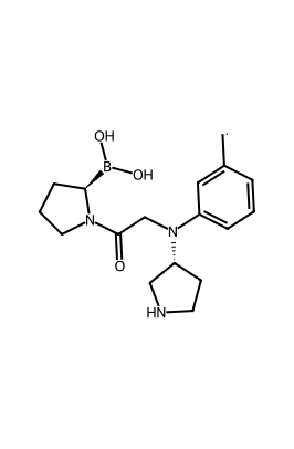 [CH2]c1cccc(N(CC(=O)N2CCC[C@H]2B(O)O)[C@@H]2CCNC2)c1